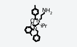 Cc1ccc(C(=O)N(CCCN)[C@@H](c2nc3cccc(C)c3n2Cc2ccccc2)C(C)C)cc1